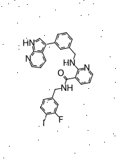 O=C(NCc1ccc(I)c(F)c1)c1cccnc1NCc1cccc(-c2c[nH]c3ncccc23)c1